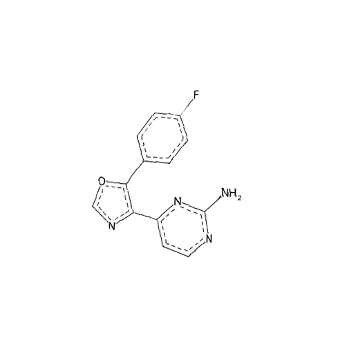 Nc1nccc(-c2ncoc2-c2ccc(F)cc2)n1